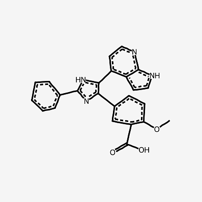 COc1ccc(-c2nc(-c3ccccc3)[nH]c2-c2ccnc3[nH]ccc23)cc1C(=O)O